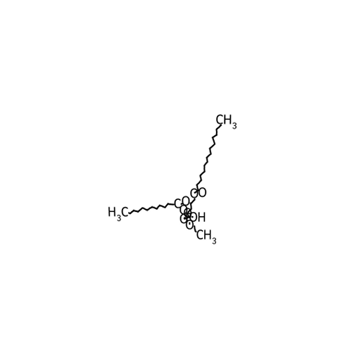 CCCCCCCCCCCCCCCC(=O)OCC(COP(=O)(O)OCCC)OC(=O)CCCCCCCCCCCCC